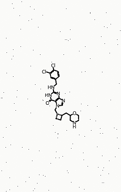 O=c1[nH]c(NCc2ccc(Cl)c(Cl)c2)nc2ncn(CC3CCC3CC3CNCCO3)c12